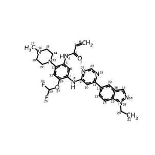 C=CC(=O)Nc1cc(Nc2cc(-c3ccc4c(cnn4CC)c3)ncn2)c(OC(F)F)cc1N1CCN(C)CC1